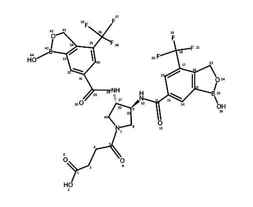 O=C(O)CCC(=O)N1C[C@H](NC(=O)c2cc3c(c(C(F)(F)F)c2)COB3O)[C@@H](NC(=O)c2cc3c(c(C(F)(F)F)c2)COB3O)C1